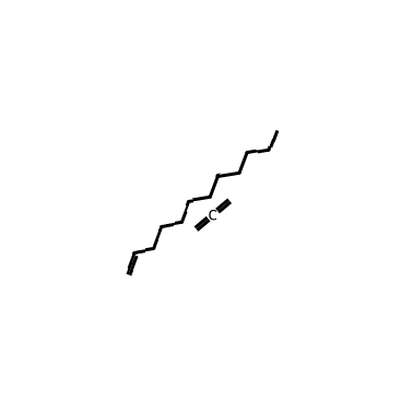 C=C=C.C=CCCCCCCCCCC